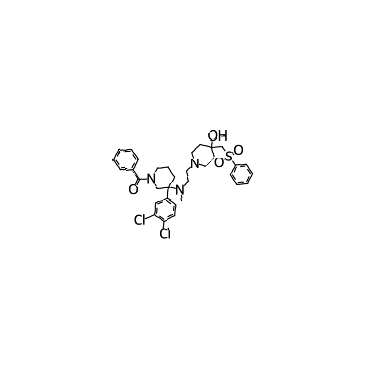 CN(CCN1CCC(O)(CS(=O)(=O)c2ccccc2)CC1)C1(c2ccc(Cl)c(Cl)c2)CCCN(C(=O)c2ccccc2)C1